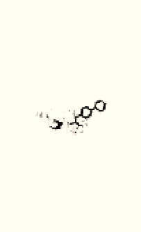 CC(C)(C)OC(=O)N1CC2CC(Nc3ncnc(N)c3C(=N)c3ccc(-c4ccccc4)cc3)C1C2